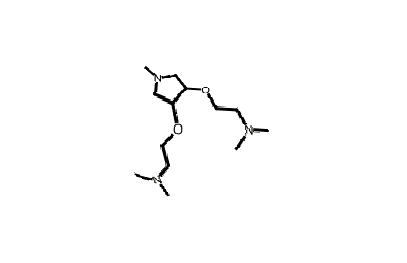 CN(C)CCOC1CN(C)CC1OCCN(C)C